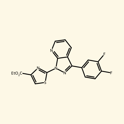 CCOC(=O)c1csc(-n2nc(-c3ccc(F)c(F)c3)c3cccnc32)n1